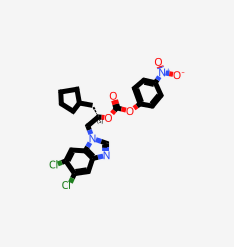 O=C(Oc1ccc([N+](=O)[O-])cc1)O[C@@H](CC1CCCC1)Cn1cnc2cc(Cl)c(Cl)cc21